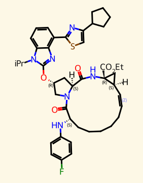 CCOC(=O)[C@@]12C[C@H]1/C=C\CCCCC[C@H](Nc1ccc(F)cc1)C(=O)N1C[C@H](Oc3nc4c(-c5nc(C6CCCC6)cs5)cccc4n3C(C)C)C[C@H]1C(=O)N2